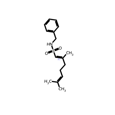 CC(C)=CCC/C(C)=C/S(=O)(=O)NCc1ccccc1